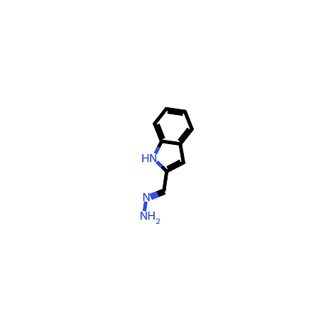 NN=Cc1cc2ccccc2[nH]1